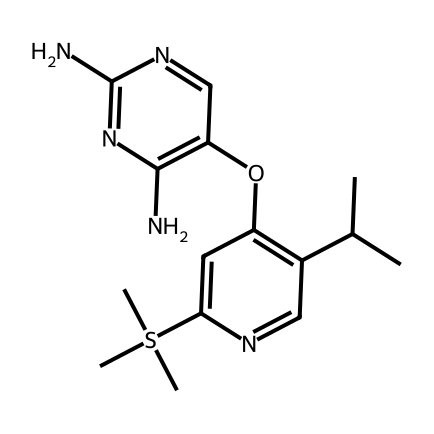 CC(C)c1cnc(S(C)(C)C)cc1Oc1cnc(N)nc1N